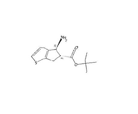 CC(C)(C)OC(=O)[C@@H]1Cc2sccc2[C@H]1N